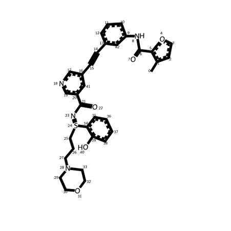 Cc1ccoc1C(=O)Nc1cccc(C#Cc2cncc(C(=O)N=S(CCCN3CCOCC3)c3ccccc3O)c2)c1